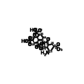 COC(=O)c1cc(N)cc(C(=O)Nc2ccc(S(=O)(=O)O)c3cc(S(=O)(=O)O)cc(S(=O)(=O)O)c23)c1